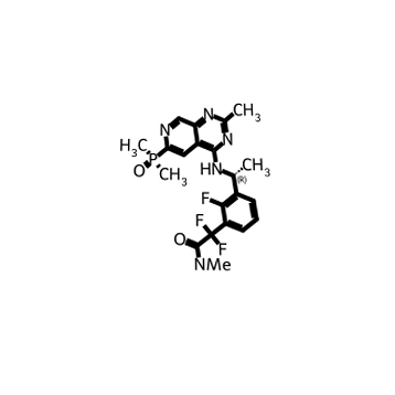 CNC(=O)C(F)(F)c1cccc([C@@H](C)Nc2nc(C)nc3cnc(P(C)(C)=O)cc23)c1F